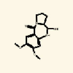 COc1cc2c(cc1OC)C(=O)N1CCCC1C(O)N2